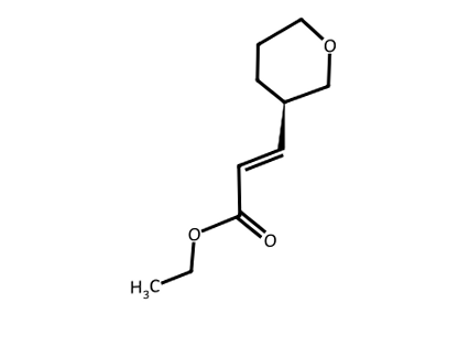 CCOC(=O)C=C[C@H]1CCCOC1